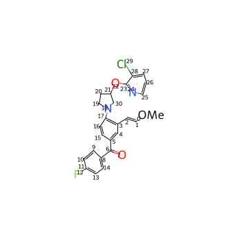 COC=Cc1cc(C(=O)c2ccc(F)cc2)ccc1N1CCC(Oc2ncccc2Cl)C1